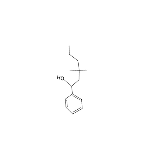 CCCC(C)(C)CC(O)c1ccccc1